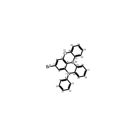 Brc1cc2c3c(c1)N(c1ccccc1)c1ccccc1B3c1ccccc1O2